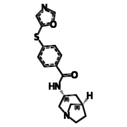 O=C(N[C@@H]1C[C@H]2CCN(C2)C1)c1ccc(Sc2cnco2)cc1